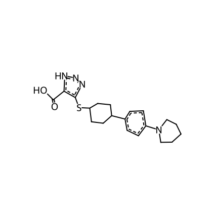 O=C(O)c1[nH]nnc1SC1CCC(c2ccc(N3CCCCC3)cc2)CC1